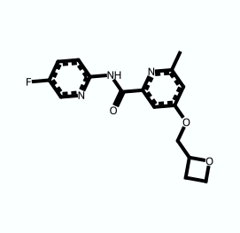 Cc1cc(OCC2CCO2)cc(C(=O)Nc2ccc(F)cn2)n1